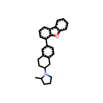 CC1CCCN1C1CCc2cc(-c3cccc4c3oc3ccccc34)ccc2C1